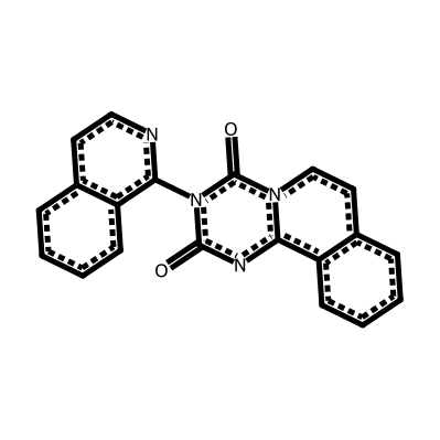 O=c1nc2c3ccccc3ccn2c(=O)n1-c1nccc2ccccc12